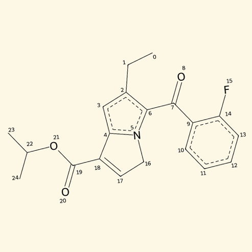 CCc1cc2n(c1C(=O)c1ccccc1F)CC=C2C(=O)OC(C)C